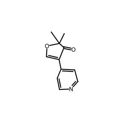 CC1(C)OC=C(c2ccncc2)C1=O